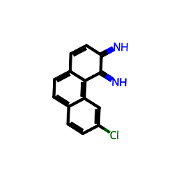 N=C1C=Cc2ccc3ccc(Cl)cc3c2C1=N